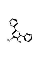 N#Cc1c(N)cc(-c2cccnn2)nc1-c1cccnn1